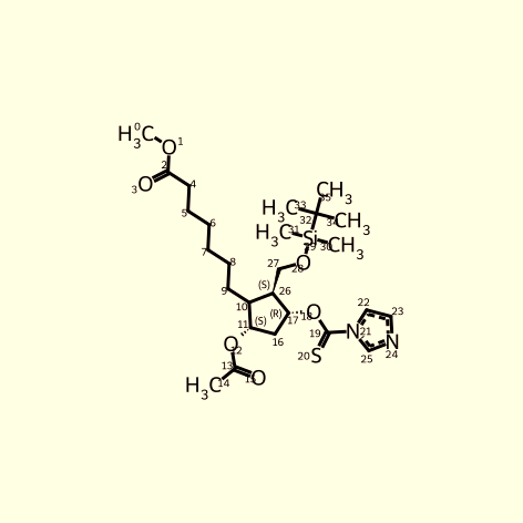 COC(=O)CCCCCCC1[C@@H](OC(C)=O)C[C@@H](OC(=S)n2ccnc2)[C@@H]1CO[Si](C)(C)C(C)(C)C